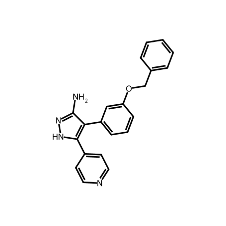 Nc1n[nH]c(-c2ccncc2)c1-c1cccc(OCc2ccccc2)c1